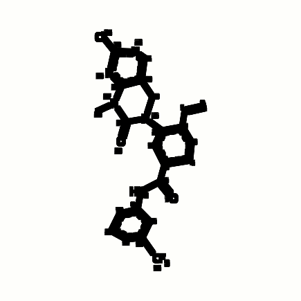 C=Cc1ccc(C(=O)Nc2cccc(C(F)(F)F)c2)cc1N1Cc2cnc(Cl)nc2N(C)C1=O